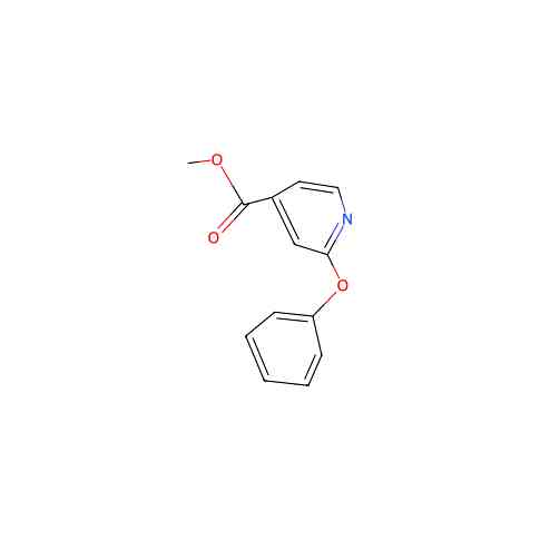 COC(=O)c1ccnc(Oc2ccccc2)c1